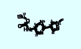 Cn1[c]c(-c2ncc(NC(=O)OC(C)(C)C)cn2)cn1